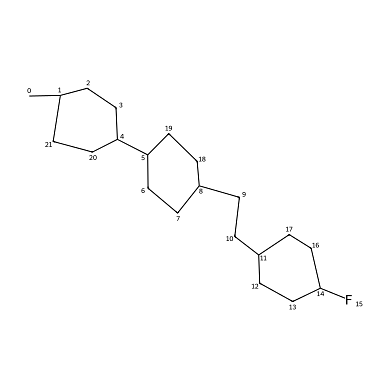 CC1CCC(C2CCC(CCC3CCC(F)CC3)CC2)CC1